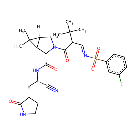 CC(C)(C)C(/C=N/S(=O)(=O)c1cccc(F)c1)C(=O)N1C[C@H]2C([C@H]1C(=O)N[C@H](C#N)C[C@@H]1CCNC1=O)C2(C)C